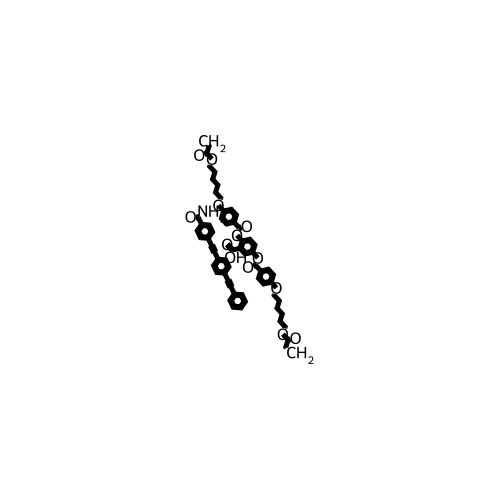 C=CC(=O)OCCCCCCOc1ccc(C(=O)Oc2ccc(OC(=O)c3ccc(OCCCCCCOC(=O)C=C)cc3)c(C(=O)O)c2)cc1.NC(=O)c1ccc(C#Cc2ccc(C#Cc3ccccc3)cc2)cc1